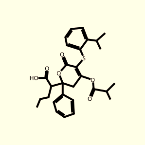 CCCC(C(=O)O)C1(c2ccccc2)CC(OC(=O)C(C)C)=C(Sc2ccccc2C(C)C)C(=O)O1